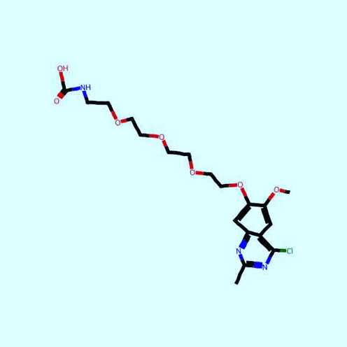 COc1cc2c(Cl)nc(C)nc2cc1OCCOCCOCCOCCNC(=O)O